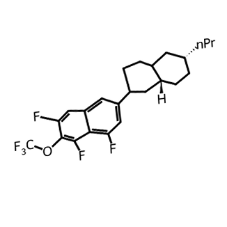 CCC[C@@H]1CC[C@@H]2CC(c3cc(F)c4c(F)c(OC(F)(F)F)c(F)cc4c3)CCC2C1